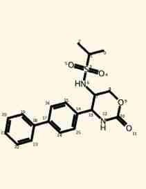 CC(C)S(=O)(=O)NC1COC(=O)NC1c1ccc(-c2ccccc2)cc1